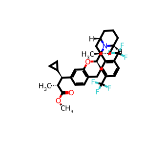 COC(=O)[C@H](C)[C@H](c1ccc2c(c1)O[C@@H]([C@H]1C[C@H]3CCC[C@@H](C1)N3[C@H](C)c1cc(C(F)(F)F)ccc1C(F)(F)F)CC2)C1CC1